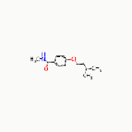 CNC(=O)c1ccc(OCCC(C)C)cc1